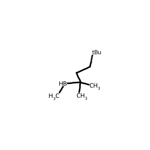 CBC(C)(C)CCC(C)(C)C